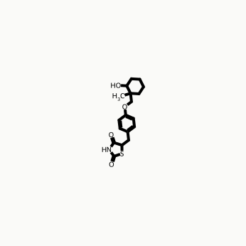 CC1(COc2ccc(CC3SC(=O)NC3=O)cc2)CCCCC1O